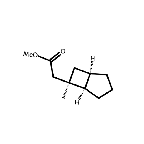 COC(=O)C[C@@]1(C)C[C@H]2CCC[C@H]21